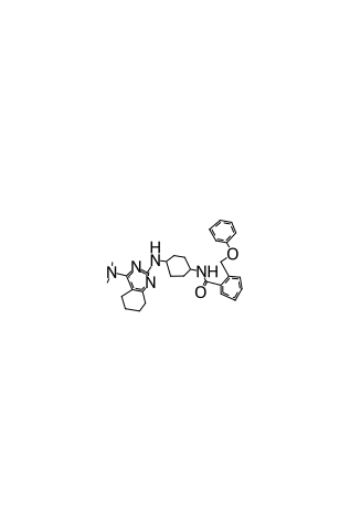 CN(C)c1nc(NC2CCC(NC(=O)c3ccccc3COc3ccccc3)CC2)nc2c1CCCC2